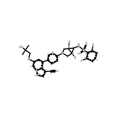 CC(C)(O)COc1cc(-c2ccc(N3C[C@@H]4C(NS(=O)(=O)c5c(F)cccc5Cl)[C@@H]4C3)nc2)c2c(C#N)cnn2c1